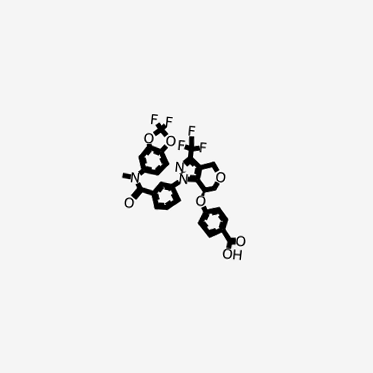 CN(C(=O)c1cccc(-n2nc(C(F)(F)F)c3c2[C@H](Oc2ccc(C(=O)O)cc2)COC3)c1)c1ccc2c(c1)OC(F)(F)O2